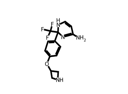 NC1=NC(c2ccc(OC3CNC3)cc2)(C(F)(F)F)NC=C1